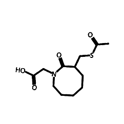 CC(=O)SCC1CCCCCN(CC(=O)O)C1=O